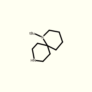 CC(C)(C)N1CCCCC12CCNCC2